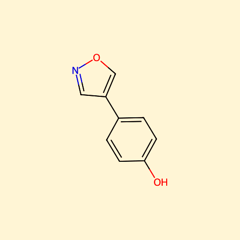 Oc1ccc(-c2cnoc2)cc1